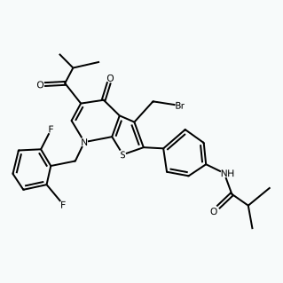 CC(C)C(=O)Nc1ccc(-c2sc3c(c2CBr)c(=O)c(C(=O)C(C)C)cn3Cc2c(F)cccc2F)cc1